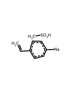 C=Cc1cc[c]([Na])cc1.CS(=O)(=O)O